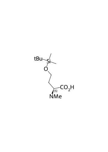 CN[C@@H](CCO[Si](C)(C)C(C)(C)C)C(=O)O